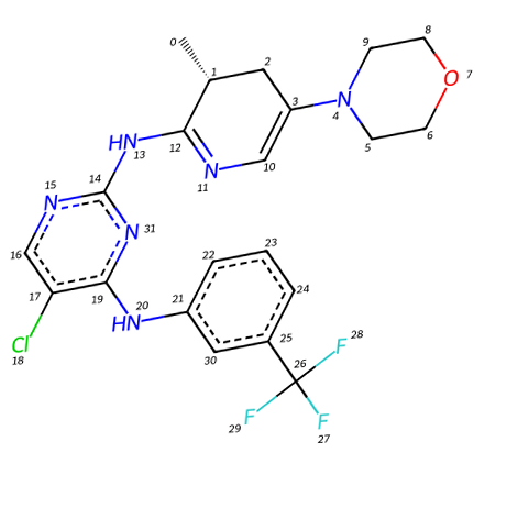 C[C@@H]1CC(N2CCOCC2)=CN=C1Nc1ncc(Cl)c(Nc2cccc(C(F)(F)F)c2)n1